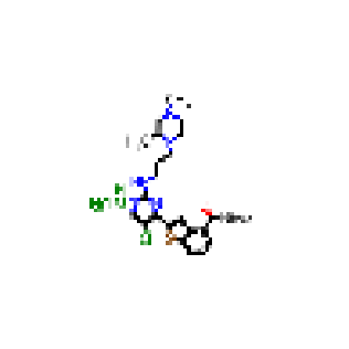 CNC(=O)c1cccc2sc(-c3nc(NCCCN4CCN(C)CC4C)ncc3Cl)cc12.Cl.Cl.Cl